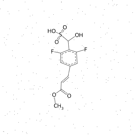 COC(=O)C=Cc1cc(F)c(C(O)S(=O)(=O)O)c(F)c1